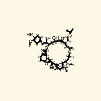 CO[C@H]1C[C@@H](C)[C@@]2(O)O[C@H]1[C@H](OC)C[C@@H](C)C/C(C)=C/[C@@H](CCOC(C)C)C(=O)C[C@H](O)[C@@H](C)[C@H](/C(C)=C/[C@@H]1CC[C@@H](O)[C@H](OC)C1)OC(=O)[C@@H]1CCCCN1C(=O)C2=O